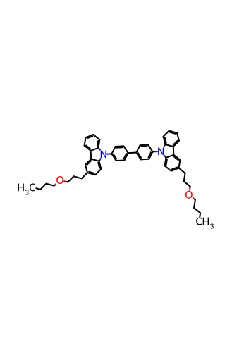 CCCCOCCCc1ccc2c(c1)c1ccccc1n2-c1ccc(-c2ccc(-n3c4ccccc4c4cc(CCCOCCCC)ccc43)cc2)cc1